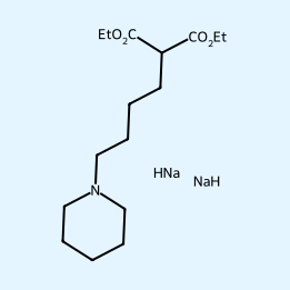 CCOC(=O)C(CCCCN1CCCCC1)C(=O)OCC.[NaH].[NaH]